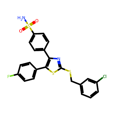 NS(=O)(=O)c1ccc(-c2nc(SCc3cccc(Cl)c3)sc2-c2ccc(F)cc2)cc1